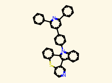 c1ccc(-c2cc(-c3ccc(-n4c5c(c6ccccc64)-c4cnccc4Sc4ccccc4-5)cc3)cc(-c3ccccc3)n2)cc1